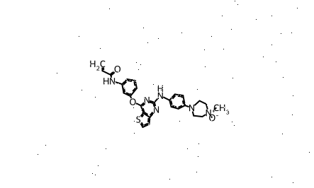 C=CC(=O)Nc1cccc(Oc2nc(Nc3ccc(N4CC[N+](C)([O-])CC4)cc3)nc3ccsc23)c1